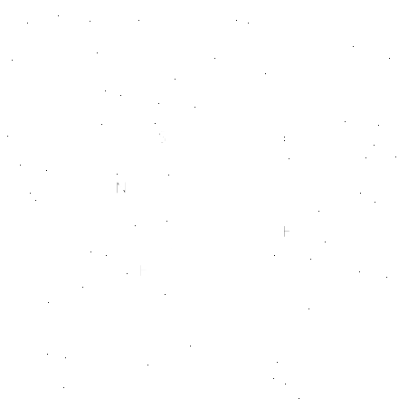 Fc1cc(F)c2ncsc2c1